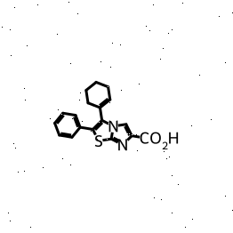 O=C(O)c1cn2c(C3=CCCCC3)c(-c3ccccc3)sc2n1